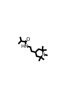 CC(C)C(=O)NCCC1CC(C)(C)N(C)C(C)(C)C1